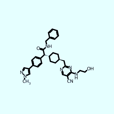 Cn1cc(-c2ccc(C(C(=O)NCc3ccccc3)[C@H]3CC[C@H](Cc4ncc(C#N)c(NCCO)n4)CC3)cc2)cn1